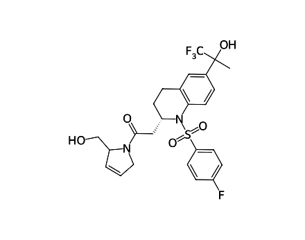 CC(O)(c1ccc2c(c1)CC[C@@H](CC(=O)N1CC=CC1CO)N2S(=O)(=O)c1ccc(F)cc1)C(F)(F)F